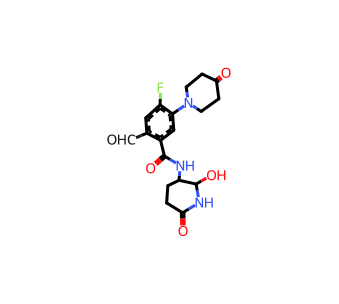 O=Cc1cc(F)c(N2CCC(=O)CC2)cc1C(=O)NC1CCC(=O)NC1O